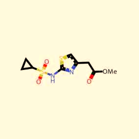 COC(=O)Cc1csc(NS(=O)(=O)C2CC2)n1